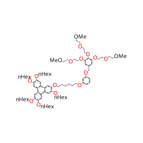 CCCCCCOc1cc2c3cc(OCCCCCC)c(OCCCCCC)cc3c3cc(OCCCCCCOc4cccc(OCc5cc(OCCOCCOC)c(OCCOCCOC)c(OCCOCCOC)c5)c4)c(OCCCCCC)cc3c2cc1OCCCCCC